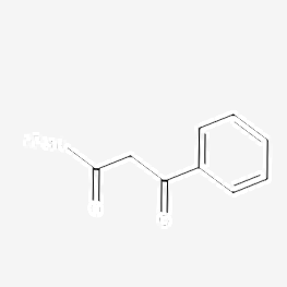 CCCCCC(=O)CC(=O)c1ccccc1